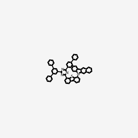 c1ccc(-c2ccc(-c3nc(-c4cc(-c5ccccc5)cc(-c5ccccc5)c4)nc(-c4cccc5c4sc4c(-n6c7ccccc7c7cc8ccccc8cc76)cccc45)n3)cc2)cc1